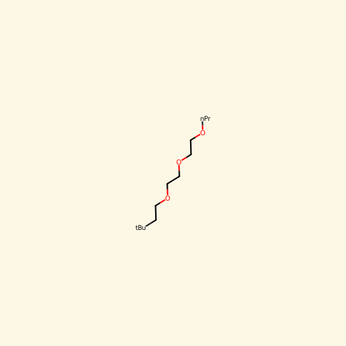 CCCOCCOCCOCCC(C)(C)C